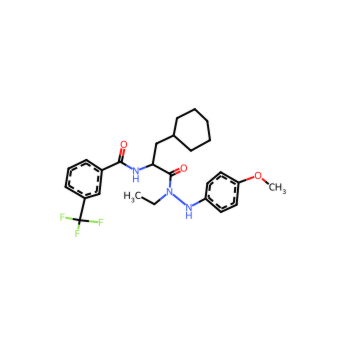 CCN(Nc1ccc(OC)cc1)C(=O)C(CC1CCCCC1)NC(=O)c1cccc(C(F)(F)F)c1